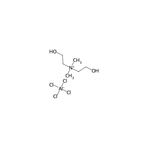 C[N+](C)(CCO)CCO.[Cl][Al-]([Cl])([Cl])[Cl]